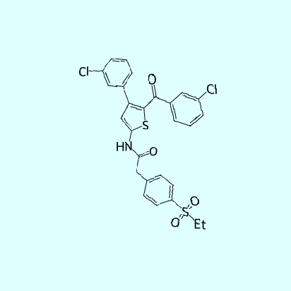 CCS(=O)(=O)c1ccc(CC(=O)Nc2cc(-c3cccc(Cl)c3)c(C(=O)c3cccc(Cl)c3)s2)cc1